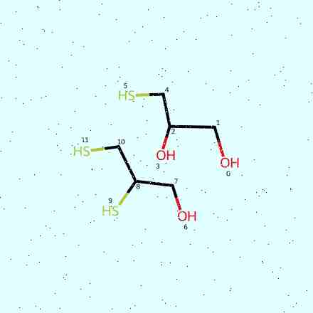 OCC(O)CS.OCC(S)CS